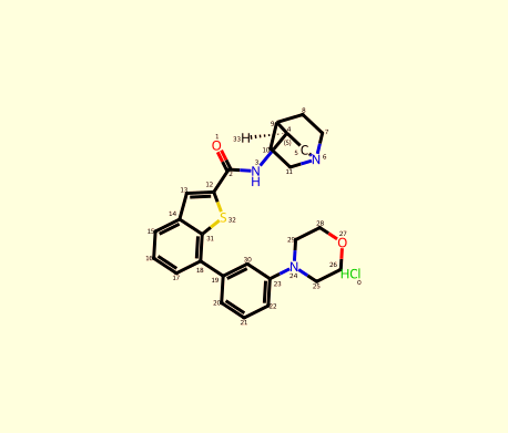 Cl.O=C(N[C@@H]1CN2CCC1CC2)c1cc2cccc(-c3cccc(N4CCOCC4)c3)c2s1